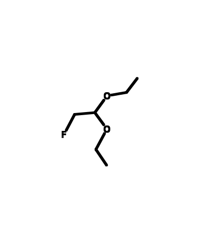 CCOC(CF)OCC